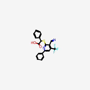 N#Cc1c(C(F)(F)F)cc(-c2ccccc2)nc1SC(C(=O)O)c1ccccc1